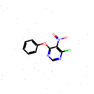 O=[N+]([O-])c1c(Cl)ncnc1Oc1c[c]ccc1